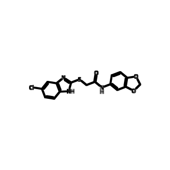 O=C(CSc1nc2cc(Cl)ccc2[nH]1)Nc1ccc2c(c1)OCO2